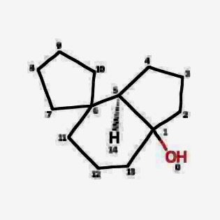 OC12CCC[C@@H]1C1(CCCC1)CCC2